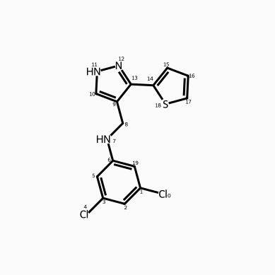 Clc1cc(Cl)cc(NCc2c[nH]nc2-c2cccs2)c1